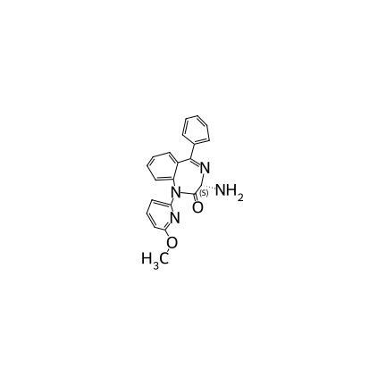 COc1cccc(N2C(=O)[C@@H](N)N=C(c3ccccc3)c3ccccc32)n1